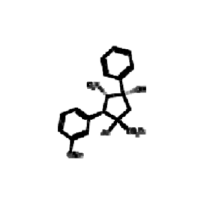 CCOC(=O)[C@]1(C(C)=O)C[C@](O)(c2ccccc2)[C@@H]([N+](=O)[O-])[C@@H]1c1cccc(OC)c1